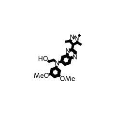 COc1cc(OC)cc(N(CCO)c2ccc3ncc(C4C(C)=NN(C)C4C)nc3c2)c1